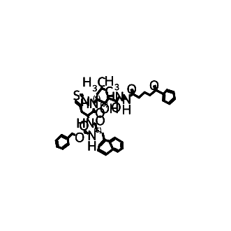 CC(C)C[C@H](NC(=O)C(Cc1cscn1)NC(=O)[C@H](Cc1cccc2ccccc12)NC(=O)OCc1ccccc1)[C@@H](O)CC(=O)NNC(=O)CCCC(=O)c1ccccc1